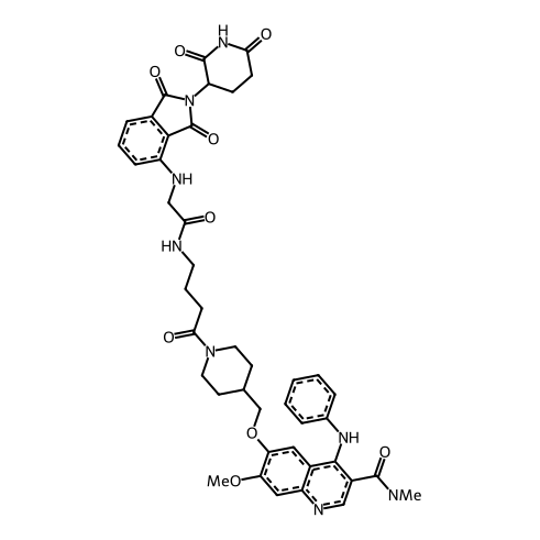 CNC(=O)c1cnc2cc(OC)c(OCC3CCN(C(=O)CCCNC(=O)CNc4cccc5c4C(=O)N(C4CCC(=O)NC4=O)C5=O)CC3)cc2c1Nc1ccccc1